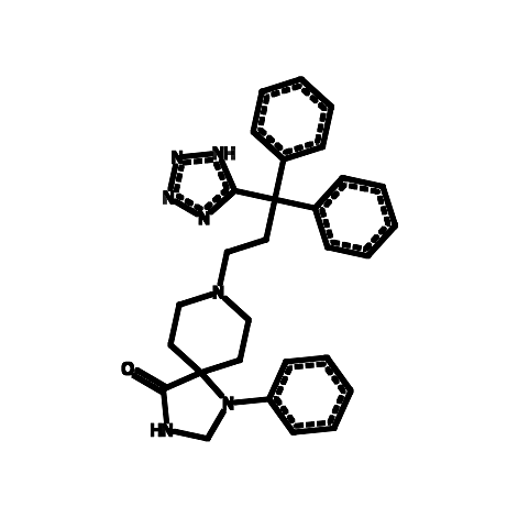 O=C1NCN(c2ccccc2)C12CCN(CCC(c1ccccc1)(c1ccccc1)c1nnn[nH]1)CC2